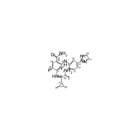 C[C@H](N)[C@H](Nc1nc(Nc2cccc(-n3nccn3)c2)c(C(N)=O)cc1F)C1CC1